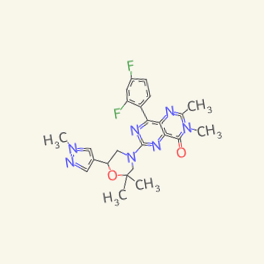 Cc1nc2c(-c3ccc(F)cc3F)nc(N3CC(c4cnn(C)c4)OC(C)(C)C3)nc2c(=O)n1C